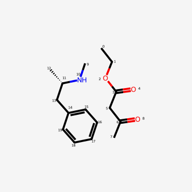 CCOC(=O)CC(C)=O.CN[C@@H](C)Cc1ccccc1